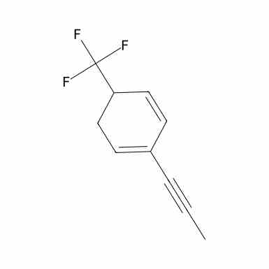 CC#CC1=CCC(C(F)(F)F)C=C1